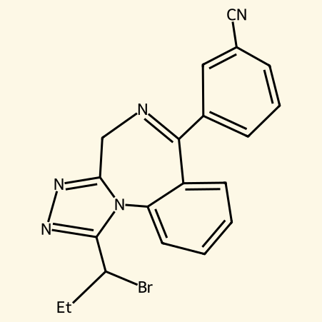 CCC(Br)c1nnc2n1-c1ccccc1C(c1cccc(C#N)c1)=NC2